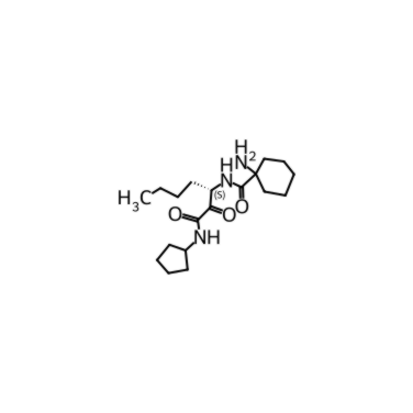 CCCC[C@H](NC(=O)C1(N)CCCCC1)C(=O)C(=O)NC1CCCC1